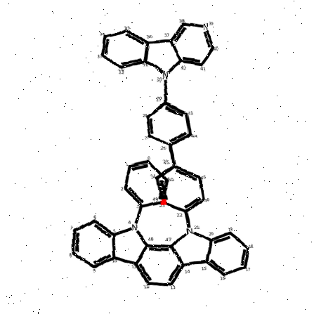 c1ccc(-n2c3ccccc3c3ccc4c5ccccc5n(-c5ccc(-c6ccc(-n7c8ccccc8c8cnccc87)cc6)cc5)c4c32)cc1